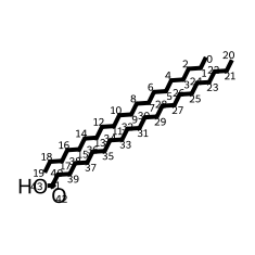 CCCCCCCCCCCCCCCCCCCC.CCCCCCCCCCCCCCCCCCCCCC(=O)O